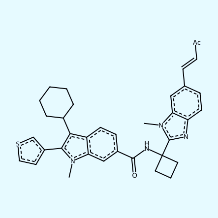 CC(=O)/C=C/c1ccc2nc(C3(NC(=O)c4ccc5c(C6CCCCC6)c(-c6ccsc6)n(C)c5c4)CCC3)n(C)c2c1